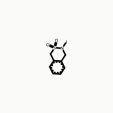 O=S1(=O)Cc2ccccc2CN1I